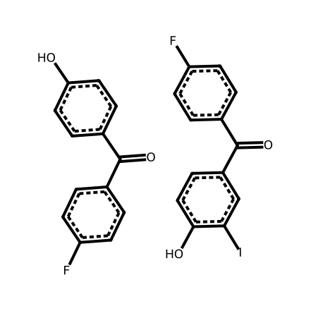 O=C(c1ccc(F)cc1)c1ccc(O)c(I)c1.O=C(c1ccc(O)cc1)c1ccc(F)cc1